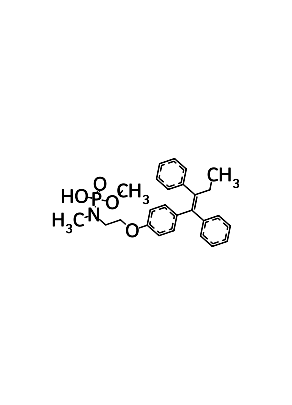 CC/C(=C(\c1ccccc1)c1ccc(OCCN(C)P(=O)(O)OC)cc1)c1ccccc1